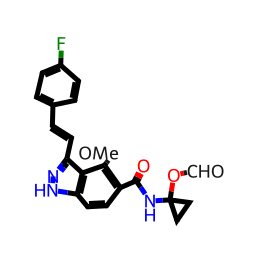 COc1c(C(=O)NC2(OC=O)CC2)ccc2[nH]nc(C=Cc3ccc(F)cc3)c12